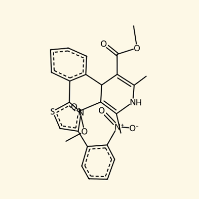 COC(=O)C1=C(C)NC(C)=C(C(=O)OC)C1c1ccccc1-c1nc(-c2ccccc2[N+](=O)[O-])cs1